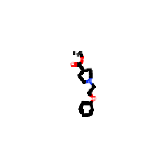 COC(=O)C1CCN(CCOc2ccccc2)CC1